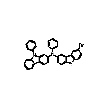 Brc1ccc2sc3ccc(N(c4ccccc4)c4ccc5c6ccccc6n(-c6ccccc6)c5c4)cc3c2c1